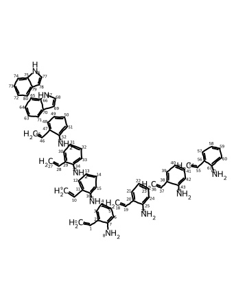 C=Cc1ccccc1N.C=Cc1ccccc1N.C=Cc1ccccc1N.C=Cc1ccccc1N.C=Cc1ccccc1N.C=Cc1ccccc1N.C=Cc1ccccc1N.c1ccc2[nH]ccc2c1.c1ccc2[nH]ccc2c1